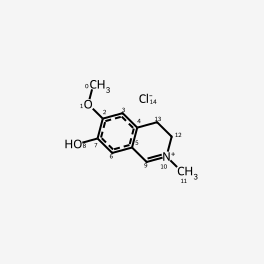 COc1cc2c(cc1O)C=[N+](C)CC2.[Cl-]